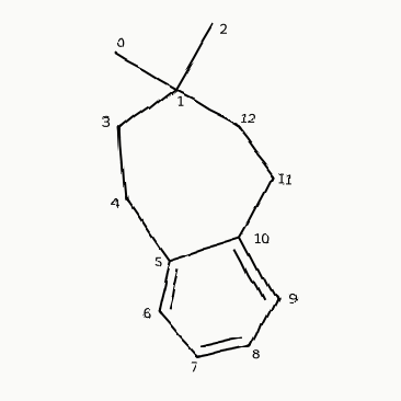 CC1(C)CCc2ccccc2CC1